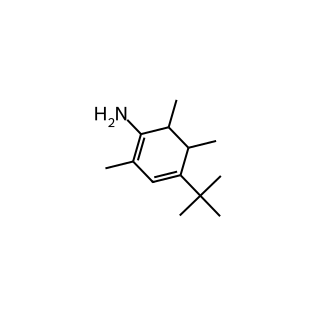 CC1=C(N)C(C)C(C)C(C(C)(C)C)=C1